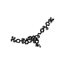 Nc1ccc(CC(CC(=O)C=Cc2ccc(OC(=O)C3CCC(OC(F)(F)F)CC3)cc2)(Cc2ccc(N)cc2)C(O)(O)C(=O)C=Cc2ccc(OC(=O)C3CCC(OC(F)(F)F)CC3)cc2)cc1